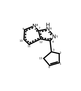 C1=CCC(c2n[nH]c3ncccc23)C1